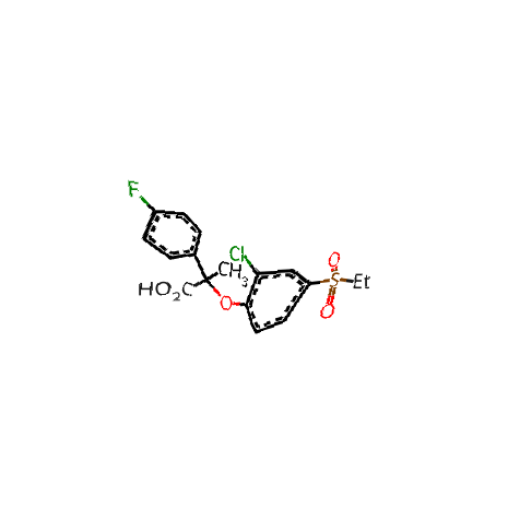 CCS(=O)(=O)c1ccc(OC(C)(C(=O)O)c2ccc(F)cc2)c(Cl)c1